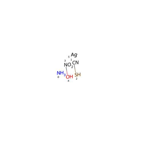 N.N#CS.O=[N+]([O-])O.[Ag]